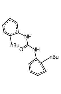 CCCCc1ccccc1NC(=O)Nc1ccccc1CCCC